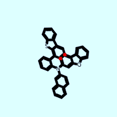 c1ccc(N(c2ccc3ccccc3c2)c2ccc3c(c2)oc2ccccc23)c(-c2cccc3c2sc2ccccc23)c1